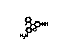 Cc1ccccc1C1c2ccc(N)cc2OC2=CC(=N)C=CC21